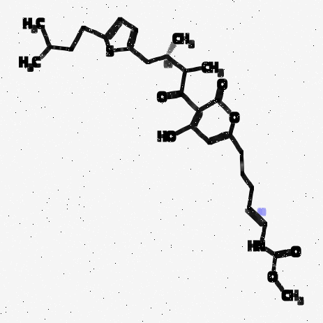 COC(=O)N/C=C/CCCc1cc(O)c(C(=O)C(C)[C@@H](C)Cc2ccc(CCC(C)C)s2)c(=O)o1